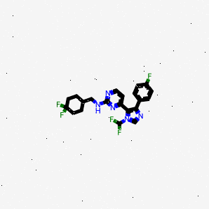 Fc1ccc(-c2ncn(C(F)F)c2-c2ccnc(NCC3CCC(F)(F)CC3)n2)cc1